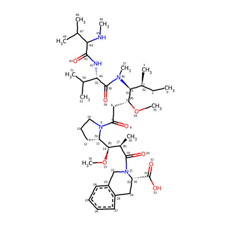 CC[C@H](C)[C@@H]([C@@H](CC(=O)N1CCC[C@H]1[C@H](OC)[C@@H](C)C(=O)N1Cc2ccccc2C[C@H]1C(=O)O)OC)N(C)C(=O)[C@@H](NC(=O)C(NC)C(C)C)C(C)C